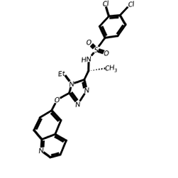 CCn1c(Oc2ccc3ncccc3c2)nnc1[C@@H](C)NS(=O)(=O)c1ccc(Cl)c(Cl)c1